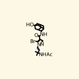 CC(=O)NC(C)(C)/C=C/n1ncc(C(=O)NC2C3CC4CC2CC(O)(C4)C3)c1Br